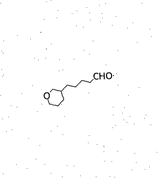 O=[C]CCCCC1CCCOC1